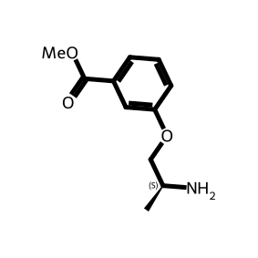 COC(=O)c1cccc(OC[C@H](C)N)c1